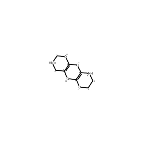 C1COC2=C(N1)OC1=C(CNCO1)O2